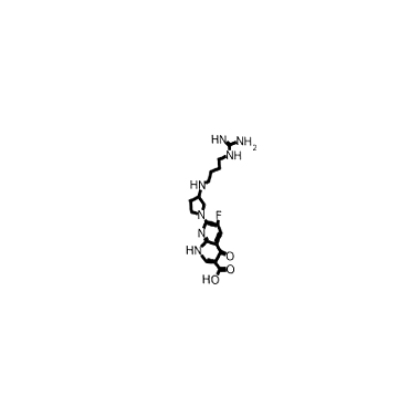 N=C(N)NCCCCNC1CCN(c2nc3[nH]cc(C(=O)O)c(=O)c3cc2F)C1